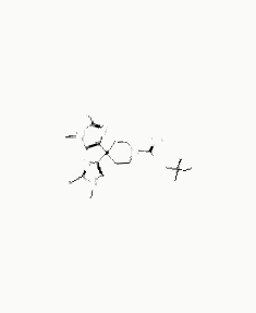 Cn1cc(C2(c3cn(C)c(I)n3)CCN(C(=O)OC(C)(C)C)CC2)nc1I